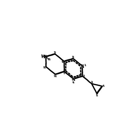 c1nc(C2CC2)nc2c1CNCC2